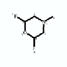 CN1CC(F)OC(F)C1